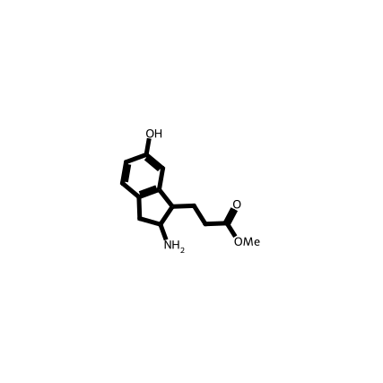 COC(=O)CCC1c2cc(O)ccc2CC1N